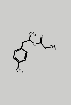 CCC(=O)OC(C)Cc1ccc(C)cc1